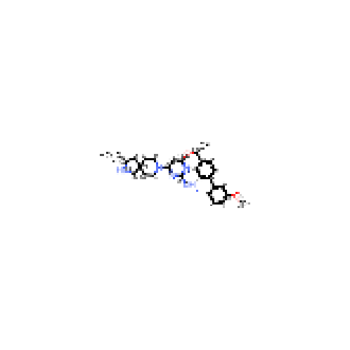 CC(C)Oc1cccc(-c2ccc([C@@H](Oc3cc(N4CCC5(CC4)CNC(C(=O)O)C5)nc(N)n3)C(F)(F)F)cc2)c1